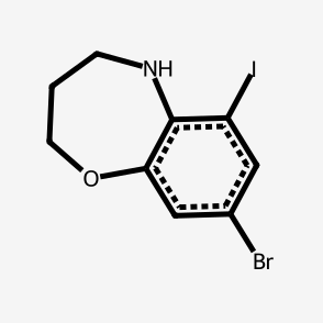 Brc1cc(I)c2c(c1)OCCCN2